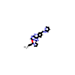 CC#CC(=O)N1CCC[C@H]1c1nc(-c2ccc(CNc3ccccn3)cc2)c2c(N)nccn12